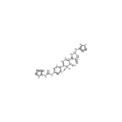 CC1(F)C(c2ccc(CNCc3cnn[nH]3)nc2)=CC=C(N2CC(Cn3ccnn3)OC2=O)C1F